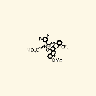 COc1cccc(-c2c(C)c(Cc3c(F)cccc3C(F)(F)F)c3n(c2=O)C(C(NCCCC(=O)O)c2cc(F)cc(F)c2)CS3)c1F